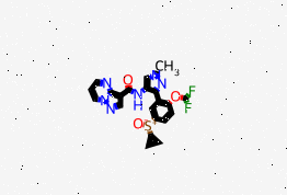 Cn1cc(NC(=O)c2cnn3cccnc23)c(-c2cc([S+]([O-])C3CC3)ccc2OC(F)F)n1